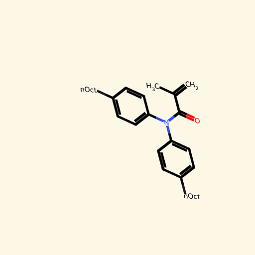 C=C(C)C(=O)N(c1ccc(CCCCCCCC)cc1)c1ccc(CCCCCCCC)cc1